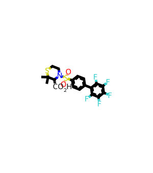 CC1(C)SCCN(S(=O)(=O)c2ccc(-c3c(F)c(F)c(F)c(F)c3F)cc2)C1C(=O)O